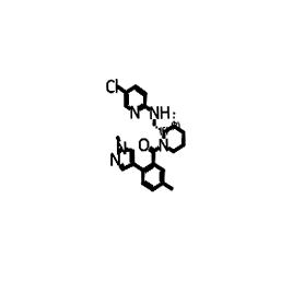 Cc1ccc(-c2cnn(C)c2)c(C(=O)N2CCC[C@@H](C)[C@H]2CNc2ccc(Cl)cn2)c1